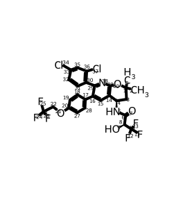 CC1(C)C[C@@H](NC(=O)[C@H](O)C(F)(F)F)c2cc(-c3ccc(OCC(F)(F)F)cc3)c(-c3ccc(Cl)cc3Cl)nc2O1